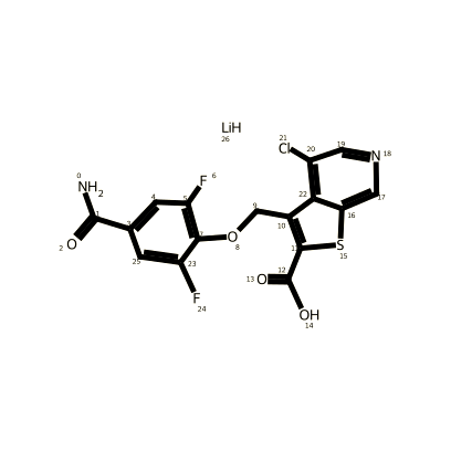 NC(=O)c1cc(F)c(OCc2c(C(=O)O)sc3cncc(Cl)c23)c(F)c1.[LiH]